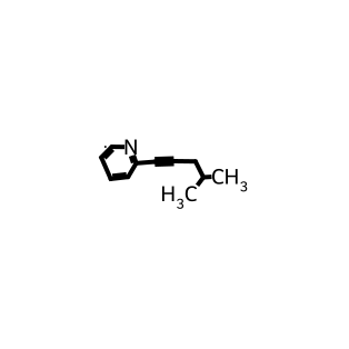 CC(C)CC#Cc1ccc[c]n1